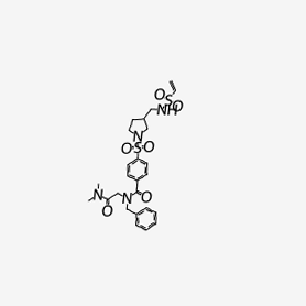 C=CS(=O)(=O)NCC1CCN(S(=O)(=O)c2ccc(C(=O)N(CC(=O)N(C)C)Cc3ccccc3)cc2)C1